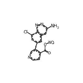 Nc1cc2cc(-c3cnccc3C(=O)ON=O)cc(Cl)c2nn1